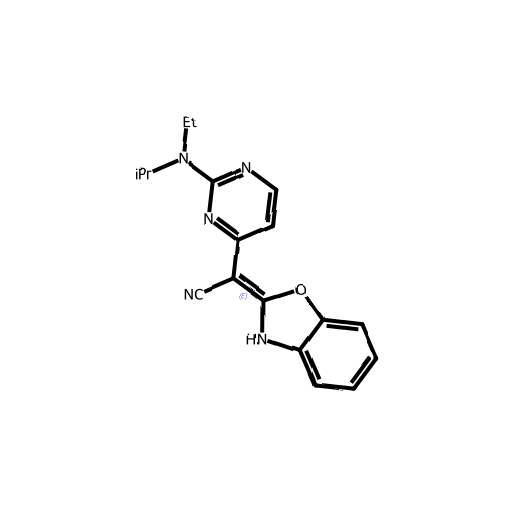 CCN(c1nccc(/C(C#N)=C2/Nc3ccccc3O2)n1)C(C)C